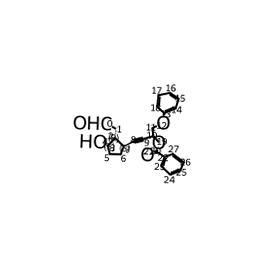 O=CC[C@H]1[C@@H](O)CC[C@@H]1C#CC(COc1ccccc1)OC(=O)c1ccccc1